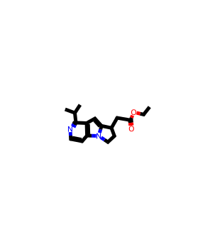 CCOC(=O)CC1CCn2c1cc1c(C(C)C)nccc12